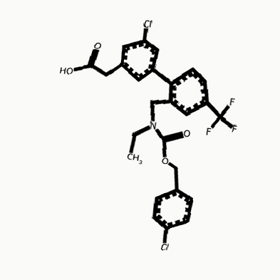 CCN(Cc1cc(C(F)(F)F)ccc1-c1cc(Cl)cc(CC(=O)O)c1)C(=O)OCc1ccc(Cl)cc1